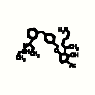 C=CN/N=C(\C=C)c1cccc(Cc2ccc(COc3ccc(C(C)=O)c(O)c3C(=C)/C=C\C=C/N)cc2)c1